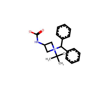 CC(C)(C)[N+]1(C(c2ccccc2)c2ccccc2)CC(NC(=O)[O-])C1